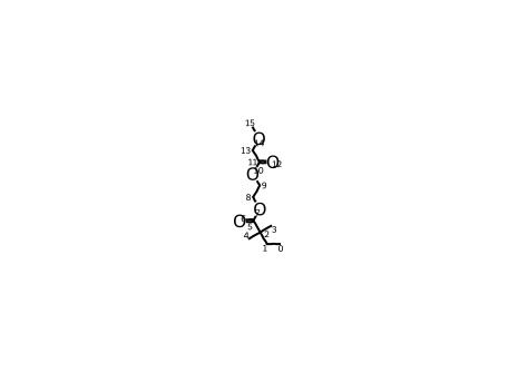 CCC(C)(C)C(=O)OCCOC(=O)COC